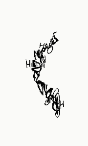 O=C1CC[C@H](N2C(=O)c3ccc(N4CCC(CN5CCN(c6ccc(Nc7ncnc8c7ncn8C7CC(NC(=O)c8cccc(F)n8)C7)cc6)CC5)CC4)cc3C2=O)C(=O)N1